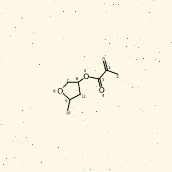 C=C(C)C(=O)OC1COC(C)C1